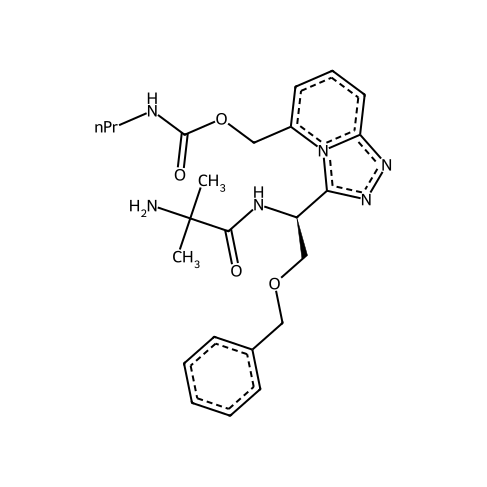 CCCNC(=O)OCc1cccc2nnc([C@@H](COCc3ccccc3)NC(=O)C(C)(C)N)n12